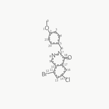 COc1ccc(Cn2ncc3c(Br)cc(Cl)cc3c2=O)cc1